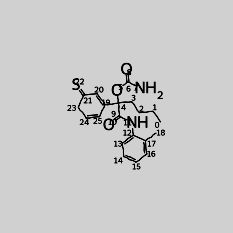 CCCCC(OC(N)=O)(C(=O)Nc1ccccc1C)C1=CC(=S)CC=C1